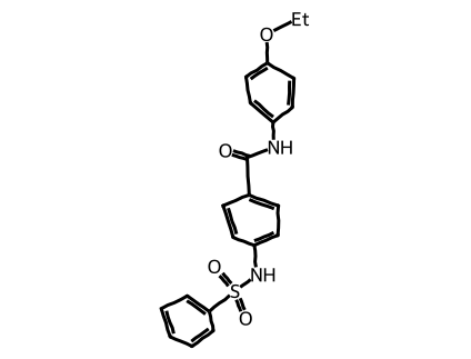 CCOc1ccc(NC(=O)c2ccc(NS(=O)(=O)c3ccccc3)cc2)cc1